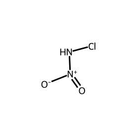 O=[N+]([O-])NCl